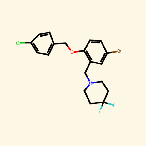 FC1(F)CCN(Cc2cc(Br)ccc2OCc2ccc(Cl)cc2)CC1